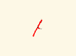 O=C([O-])CCCCCCCCCCCCCCCCCCCCOC(=O)CC[O-].[Na+].[Na+]